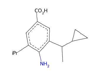 CC(C)c1cc(C(=O)O)cc(C(C)C2CC2)c1N